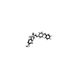 COc1ccc(NS(=O)(=O)CCN2CCN(Cc3ccccc3)CC2)cn1